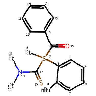 CCCCc1ccccc1S(CC)(C(=O)c1ccccc1)C(=S)N(CC)CC